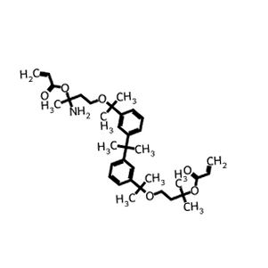 C=CC(=O)OC(C)(C)CCOC(C)(C)c1cccc(C(C)(C)c2cccc(C(C)(C)OCCC(C)(N)OC(=O)C=C)c2)c1